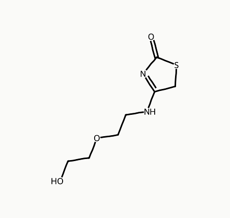 O=C1N=C(NCCOCCO)CS1